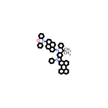 CC1(C)c2ccccc2N(c2ccc3ccc4c(N5c6ccccc6Oc6ccccc65)ccc5ccc2c3c54)c2cc3c(cc21)c1c2cccc4c5cccc6cccc(c(cc1n3-c1ccccc1)c42)c65